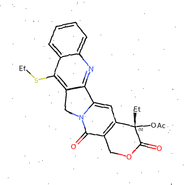 CCSc1c2c(nc3ccccc13)-c1cc3c(c(=O)n1C2)COC(=O)[C@@]3(CC)OC(C)=O